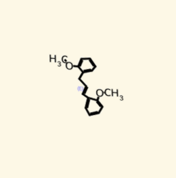 COc1ccccc1/C=C/Cc1ccccc1OC